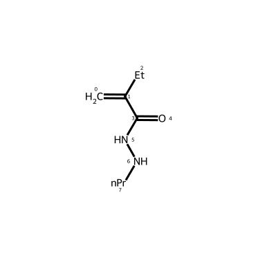 C=C(CC)C(=O)NNCCC